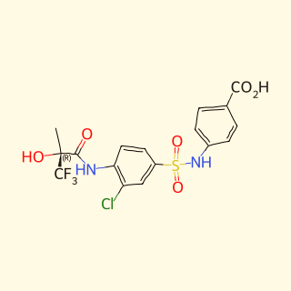 C[C@@](O)(C(=O)Nc1ccc(S(=O)(=O)Nc2ccc(C(=O)O)cc2)cc1Cl)C(F)(F)F